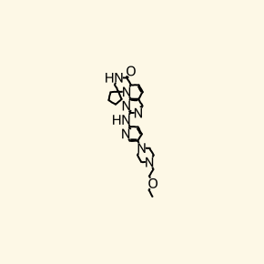 CCOCCN1CCN(c2ccc(Nc3ncc4c(n3)N3C(C=C4)C(=O)NCC34CCCC4)nc2)CC1